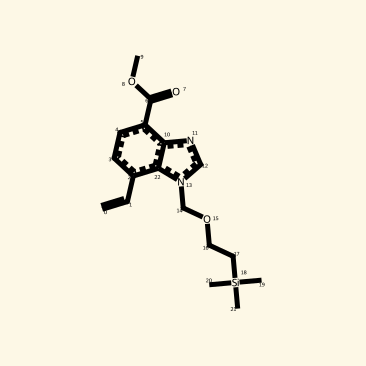 C=Cc1ccc(C(=O)OC)c2ncn(COCC[Si](C)(C)C)c12